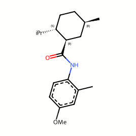 COc1ccc(NC(=O)[C@@H]2C[C@H](C)CC[C@H]2C(C)C)c(C)c1